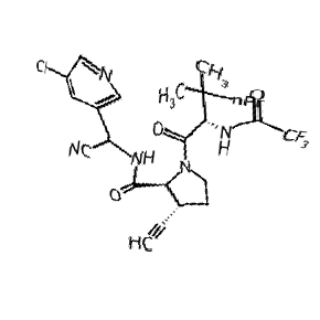 C#C[C@H]1CCN(C(=O)[C@@H](NC(=O)C(F)(F)F)C(C)(C)CCC)[C@@H]1C(=O)NC(C#N)c1cncc(Cl)c1